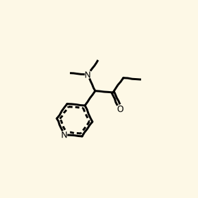 CCC(=O)C(c1ccncc1)N(C)C